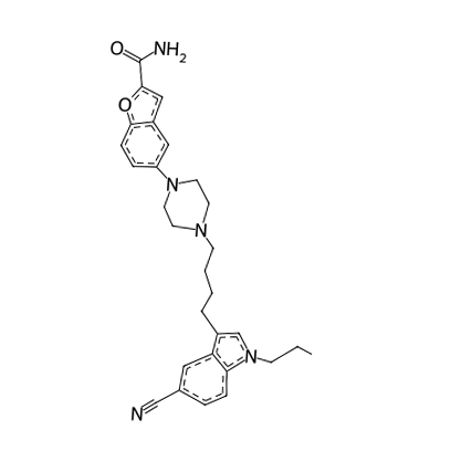 CCCn1cc(CCCCN2CCN(c3ccc4oc(C(N)=O)cc4c3)CC2)c2cc(C#N)ccc21